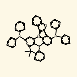 CC1(C)c2ccccc2B2c3c(cc(N(c4ccccc4)c4ccccc4)cc31)-n1c3c2ccc(N(c2ccccc2)c2ccccc2)c3c2sc3ccccc3c21